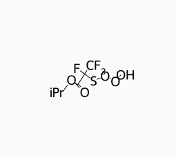 CC(C)OC(=O)C(F)(SOOO)C(F)(F)F